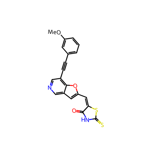 COc1cccc(C#Cc2cncc3cc(C=C4SC(=S)NC4=O)oc23)c1